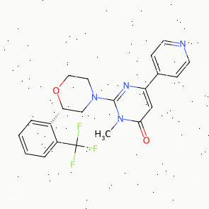 Cn1c(N2CCO[C@@H](c3ccccc3C(F)(F)F)C2)nc(-c2ccncc2)cc1=O